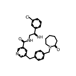 N=C(CNC(=O)c1cncc(Cc2ccc(CN3CCCCCC3=O)cc2)c1)c1cccc(Cl)c1